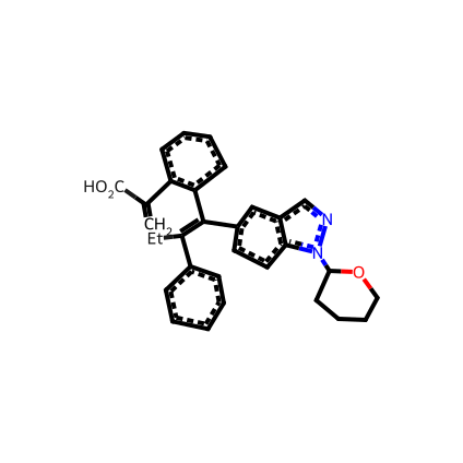 C=C(C(=O)O)c1ccccc1/C(=C(\CC)c1ccccc1)c1ccc2c(cnn2C2CCCCO2)c1